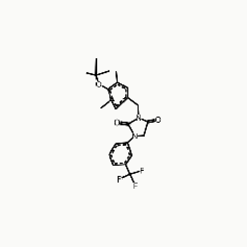 Cc1cc(CN2C(=O)CN(c3cccc(C(F)(F)F)c3)C2=O)cc(C)c1OC(C)(C)C